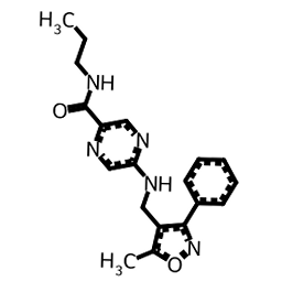 CCCNC(=O)c1cnc(NCc2c(-c3ccccc3)noc2C)cn1